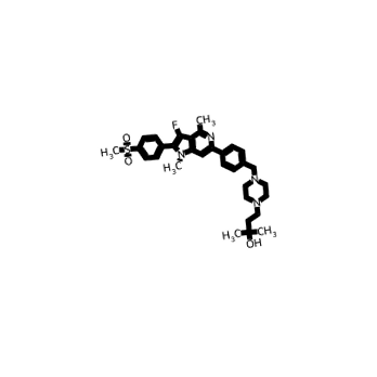 Cc1nc(-c2ccc(CN3CCN(CCC(C)(C)O)CC3)cc2)cc2c1c(F)c(-c1ccc(S(C)(=O)=O)cc1)n2C